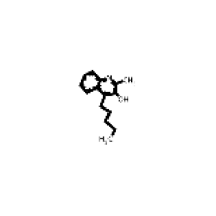 CCCCCc1c(O)c(C)nc2ccccc12